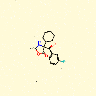 CC1NC(C(=O)c2cccc(F)c2)(C2CCCCC2)C(=O)O1